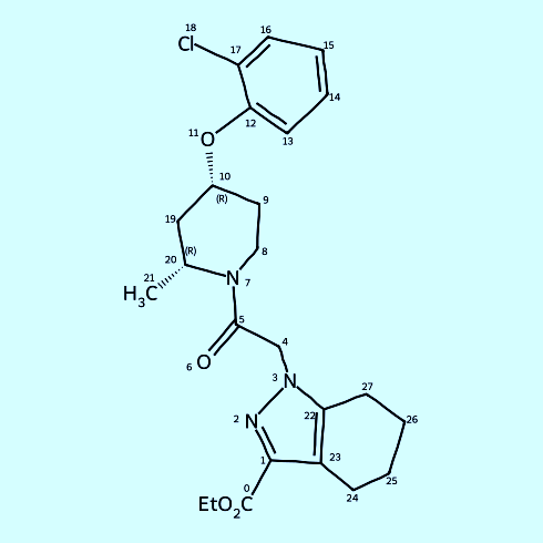 CCOC(=O)c1nn(CC(=O)N2CC[C@@H](Oc3ccccc3Cl)C[C@H]2C)c2c1CCCC2